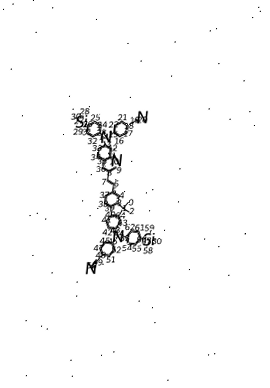 CC1(C)c2cc(/C=C/c3cnc4cc(N(c5ccc(C#N)cc5)c5ccc([Si](C)(C)C)cc5)ccc4c3)ccc2-c2ccc(N(c3ccc(C#N)cc3)c3ccc([Si](C)(C)C)cc3)cc21